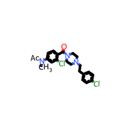 CC(=O)N(C)c1ccc(C(=O)N2CCN(CCc3ccc(Cl)cc3)CC2)c(Cl)c1